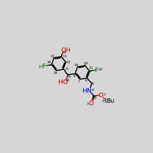 CC(C)(C)OC(=O)NCc1cc(C(O)c2cc(O)cc(F)c2)ccc1F